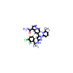 Cc1cccc(-n2nc(NC(C)c3cccc(Cl)c3F)cc2-c2ccn3ncc(C(N)=O)c3c2)n1